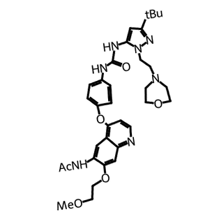 COCCOc1cc2nccc(Oc3ccc(NC(=O)Nc4cc(C(C)(C)C)nn4CCN4CCOCC4)cc3)c2cc1NC(C)=O